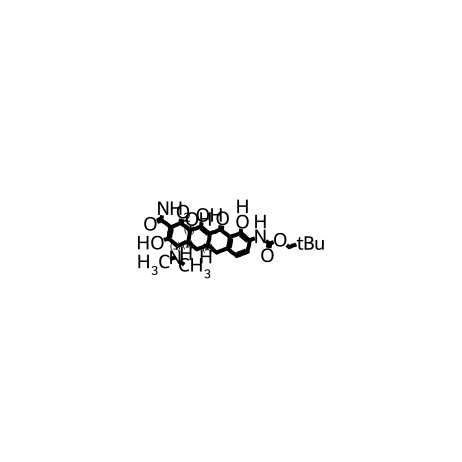 CN(C)[C@@H]1C(O)=C(C(N)=O)C(=O)[C@@]2(O)C(O)=C3C(=O)c4c(ccc(NC(=O)OCC(C)(C)C)c4O)C[C@H]3C[C@@H]12